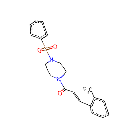 O=C(C=Cc1ccccc1C(F)(F)F)N1CCN(S(=O)(=O)c2ccccc2)CC1